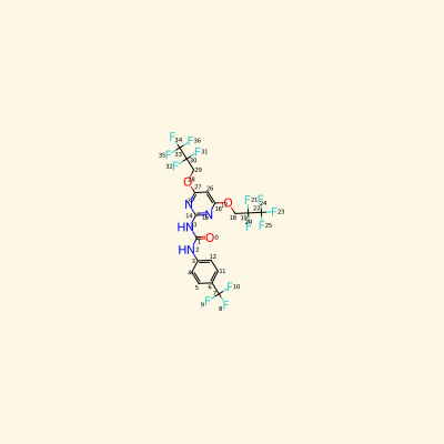 O=C(Nc1ccc(C(F)(F)F)cc1)Nc1nc(OCC(F)(F)C(F)(F)F)cc(OCC(F)(F)C(F)(F)F)n1